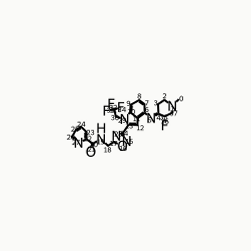 CN1CC/C(=N\c2cccc3c2cc(-c2noc(CNC(=O)c4ccccn4)n2)n3CC(F)(F)F)[C@@H](F)C1